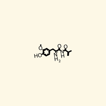 C=C(C)C(=O)NC(=O)[C@@H](N)Cc1ccc(O)c(OC)c1